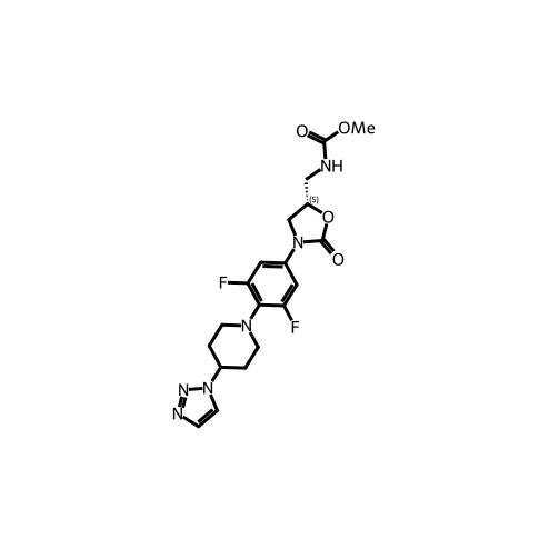 COC(=O)NC[C@H]1CN(c2cc(F)c(N3CCC(n4ccnn4)CC3)c(F)c2)C(=O)O1